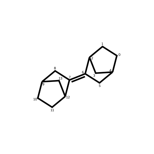 C1CC2CC1CC2=C1CC2CCC1C2